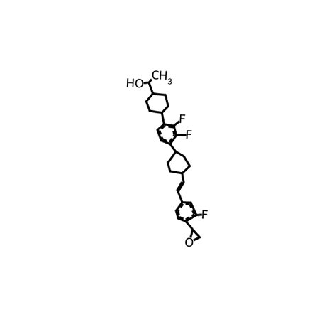 CC(O)C1CCC(c2ccc(C3CCC(/C=C/c4ccc(C5CO5)c(F)c4)CC3)c(F)c2F)CC1